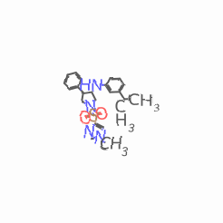 CC(C)c1cccc(NC2CN(S(=O)(=O)c3cn(C)cn3)CC2c2ccccc2)c1